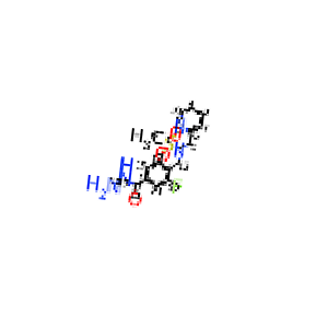 CS(=O)(=O)N(Cc1ccccn1)Cc1ccc(C(=O)NN)cc1F